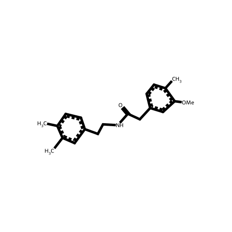 COc1cc(CC(=O)NCCc2ccc(C)c(C)c2)ccc1C